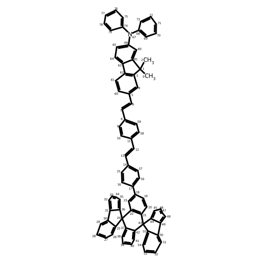 CC1(C)c2cc(/C=C/c3ccc(/C=C/c4ccc(-c5ccc6c(c5)C5(c7ccccc7-c7ccccc75)c5ccccc5C65c6ccccc6-c6ccccc65)cc4)cc3)ccc2-c2ccc(N(c3ccccc3)c3ccccc3)cc21